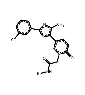 CCNC(=O)Cn1nc(-c2sc(-c3cccc(Cl)c3)nc2C)ccc1=O